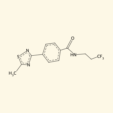 Cc1nc(-c2ccc(C(=O)NCCC(F)(F)F)cc2)ns1